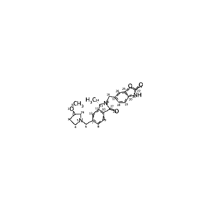 CO[C@@H]1CCN(Cc2ccc3c(c2)[C@H](C)N(Cc2ccc4[nH]c(=O)oc4c2)C3=O)C1